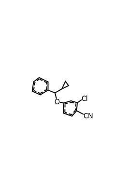 N#Cc1ccc(OC(c2ccccc2)C2CC2)cc1Cl